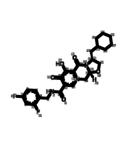 O=C(NCc1ccc(F)cc1F)c1cn2c(c(O)c1=O)C(=O)N1[C@@H](CC3CCCCC3)CO[C@@H]1C2